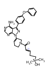 C[Si](C)(O)CC/C=C/C(=O)N1CCC=C(n2nc(-c3ccc(Oc4ccccc4)cc3)c3c(N)ncnc32)C1